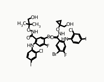 CC(C)(CO)ONC(=O)c1cc(Br)c(F)cc1Nc1ccc(I)cc1Cl.O=C(NOC1(CO)CC1)c1cc(Br)c(F)cc1Nc1ccc(I)cc1Cl